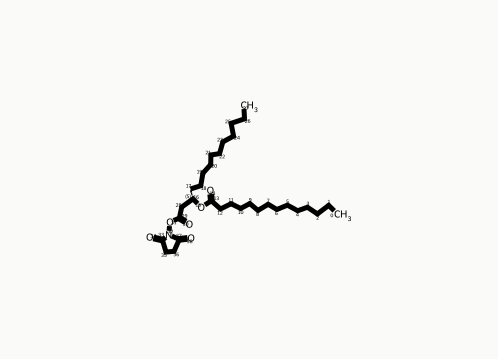 CCCCCCCCCCCCCC(=O)O[C@@H](CCCCCCCCCCC)CC(=O)ON1C(=O)CCC1=O